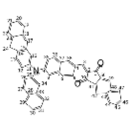 O=C1C(=Cc2ccc3cc(N(c4ccc5c(c4)C=C4C=CC=CC4C5)c4ccc5ccccc5c4)ccc3c2)C(=O)c2cc3ccccc3cc21